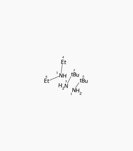 CC(C)(C)N.CC(C)(C)N.CCNCC